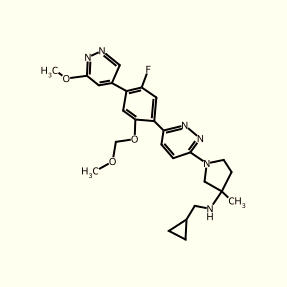 COCOc1cc(-c2cnnc(OC)c2)c(F)cc1-c1ccc(N2CCC(C)(NCC3CC3)C2)nn1